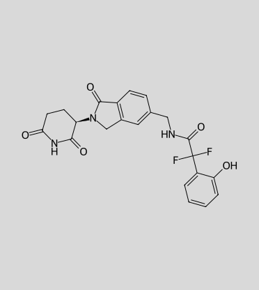 O=C1CC[C@@H](N2Cc3cc(CNC(=O)C(F)(F)c4ccccc4O)ccc3C2=O)C(=O)N1